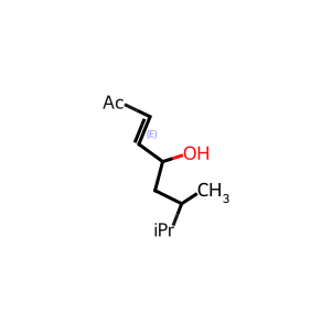 CC(=O)/C=C/C(O)CC(C)C(C)C